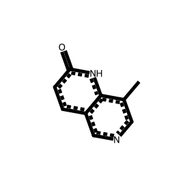 Cc1cncc2ccc(=O)[nH]c12